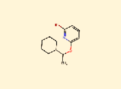 CC(Oc1cccc(Br)n1)C1CCCCC1